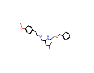 COc1ccc(CCNCC(CC(C)C)NCCOCc2ccccc2)cc1